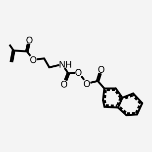 C=C(C)C(=O)OCCNC(=O)OOC(=O)c1ccc2ccccc2c1